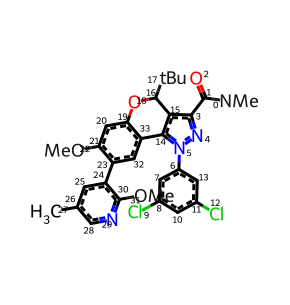 CNC(=O)c1nn(-c2cc(Cl)cc(Cl)c2)c2c1C(C(C)(C)C)Oc1cc(OC)c(-c3cc(C)cnc3OC)cc1-2